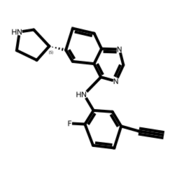 C#Cc1ccc(F)c(Nc2ncnc3ccc([C@@H]4CCNC4)cc23)c1